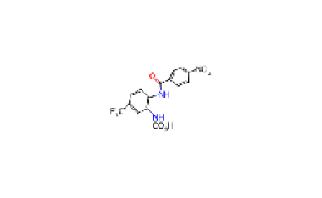 O=C(O)Nc1cc(C(F)(F)F)ccc1NC(=O)c1ccc([N+](=O)[O-])cc1